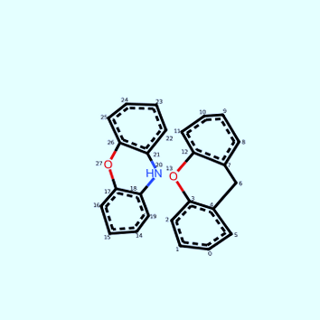 c1ccc2c(c1)Cc1ccccc1O2.c1ccc2c(c1)Nc1ccccc1O2